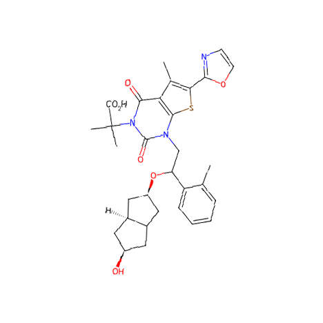 Cc1ccccc1C(Cn1c(=O)n(C(C)(C)C(=O)O)c(=O)c2c(C)c(-c3ncco3)sc21)O[C@H]1CC2C[C@@H](O)C[C@H]2C1